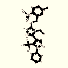 CCn1c(SCc2cc(C)ccc2[N+](=O)[O-])nnc1-c1cnn(-c2ccccc2)c1C(F)(F)F